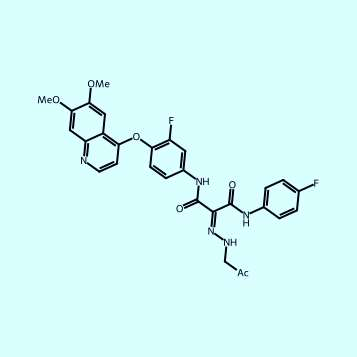 COc1cc2nccc(Oc3ccc(NC(=O)/C(=N/NCC(C)=O)C(=O)Nc4ccc(F)cc4)cc3F)c2cc1OC